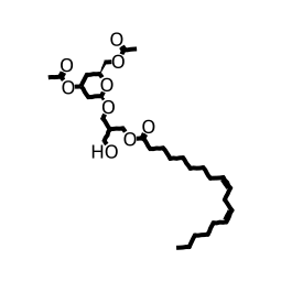 CCCCC/C=C\C/C=C\CCCCCCCC(=O)OCC(CO)CO[C@H]1CC(OC(C)=O)C[C@@H](COC(C)=O)O1